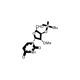 CO[C@H]1[C@H](O[Si](C)(C)C(C)(C)C)[C@@H](C=O)O[C@H]1n1ccc(=O)[nH]c1=O